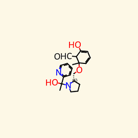 CC1(OC[C@@H]2CCCN2C(C)(O)c2ccccn2)C=CC=C(O)C1C=O